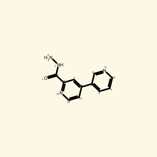 NNC(=O)c1cc(-c2cccnc2)ccn1